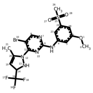 COc1cc(Nc2ncc(Br)c(N3NC(C(F)(F)F)C=C3C)n2)cc(S(C)(=O)=O)c1